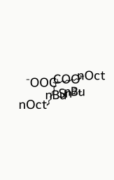 CCCCCCCC/C=C\CCCCCCCC/C(C(=O)[O-])=C(\CCCCCCCC/C=C\CCCCCCCC)C(=O)[O-].CCC[CH2][Sn+2][CH2]CCC